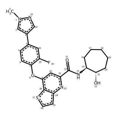 Cn1cc(-c2ccc(Oc3cc(C(=O)N[C@H]4CCCCC[C@@H]4O)nc4ccsc34)c(F)c2)cn1